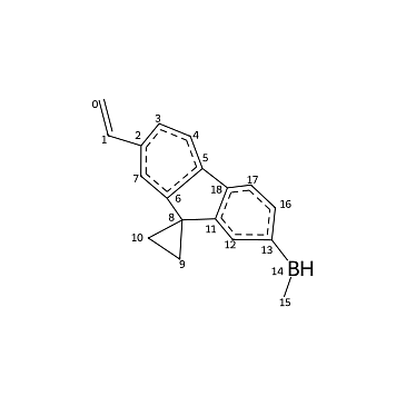 C=Cc1ccc2c(c1)C1(CC1)c1cc(BC)ccc1-2